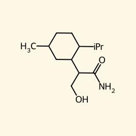 CC1CCC(C(C)C)C(C(CO)C(N)=O)C1